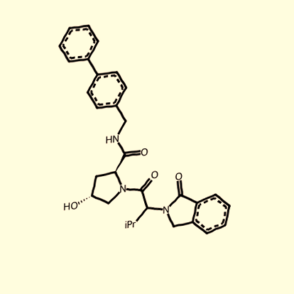 CC(C)C(C(=O)N1C[C@H](O)C[C@H]1C(=O)NCc1ccc(-c2ccccc2)cc1)N1Cc2ccccc2C1=O